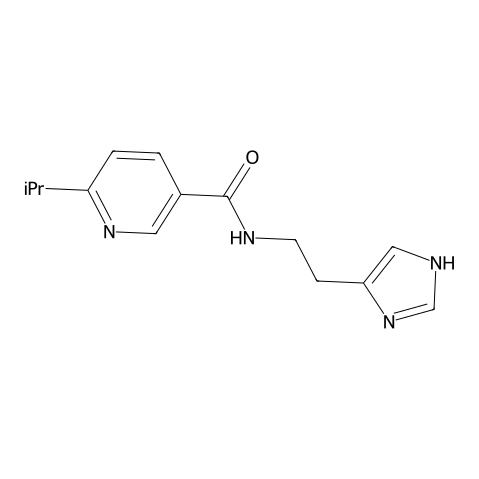 CC(C)c1ccc(C(=O)NCCc2c[nH]cn2)cn1